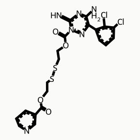 N=c1nc(N)c(-c2cccc(Cl)c2Cl)nn1C(=O)OCCSSCCOC(=O)c1cccnc1